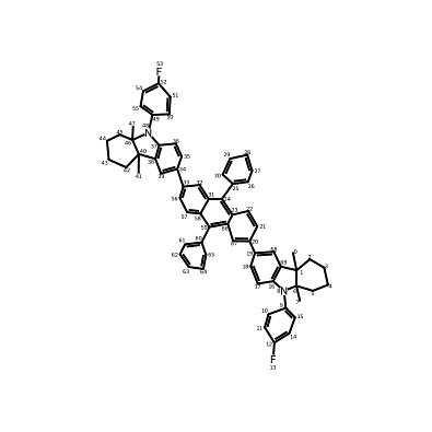 CC12CCCCC1(C)N(c1ccc(F)cc1)c1ccc(-c3ccc4c(-c5ccccc5)c5cc(-c6ccc7c(c6)C6(C)CCCCC6(C)N7c6ccc(F)cc6)ccc5c(-c5ccccc5)c4c3)cc12